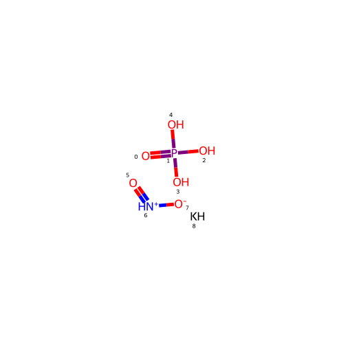 O=P(O)(O)O.O=[NH+][O-].[KH]